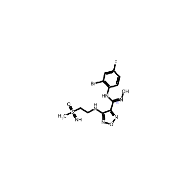 CS(=N)(=O)CCNc1nonc1/C(=N/O)Nc1ccc(F)cc1Br